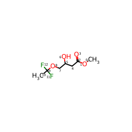 COC(=O)CC(O)COC(C)(F)F